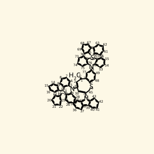 C=C1/C=C(N2c3ccccc3[Si](c3ccccc3)(c3ccccc3)c3ccccc32)\C=C(\n2c3ccccc3c3ccccc32)CSc2ccc(N3c4ccccc4[Si](c4ccccc4)(c4ccccc4)c4ccccc43)cc21